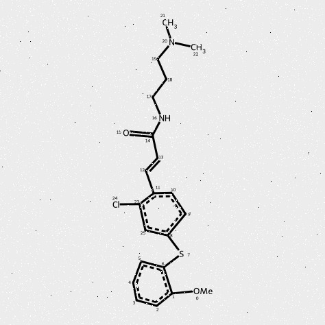 COc1ccccc1Sc1ccc(/C=C/C(=O)NCCCN(C)C)c(Cl)c1